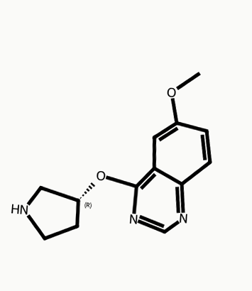 COc1ccc2ncnc(O[C@@H]3CCNC3)c2c1